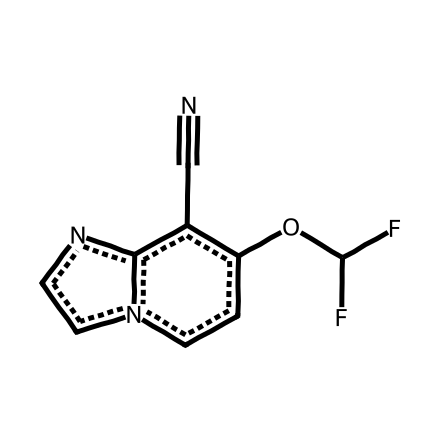 N#Cc1c(OC(F)F)ccn2ccnc12